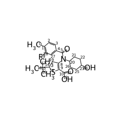 Cc1ccc(C(=O)N(C2=C(C(=O)O)SC(C(C)(C)C)C2)C2CCC(O)CC2)cc1F